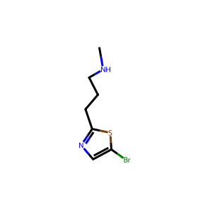 CNCCCc1ncc(Br)s1